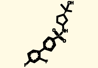 CC(C)(O)[C@H]1CCC(NS(=O)(=O)c2ccc(-c3ccc(F)cc3F)cc2)C1